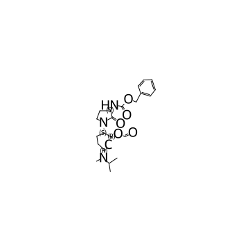 CC(C)N(C)[C@@H]1CC[C@H](N2CC[C@H](NC(=O)OCc3ccccc3)C2=O)[C@H](OC=O)C1